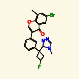 Cc1cc(Br)cc2c(=O)c(-c3cccc(C4(c5nncn5C)CC(F)C4)c3)coc12